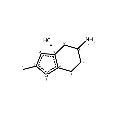 Cc1cc2c(s1)CCC(N)C2.Cl